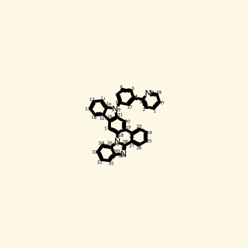 c1ccc(-c2cccc(-n3c4ccccc4c4cc5c(cc43)c3ccccc3c3nc4ccccc4n53)c2)nc1